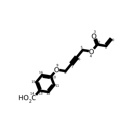 C=CC(=O)OCC#CCOc1ccc(C(=O)O)cc1